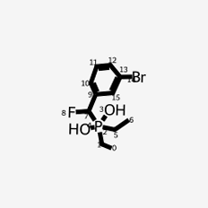 CCP(O)(O)(CC)C(F)c1cccc(Br)c1